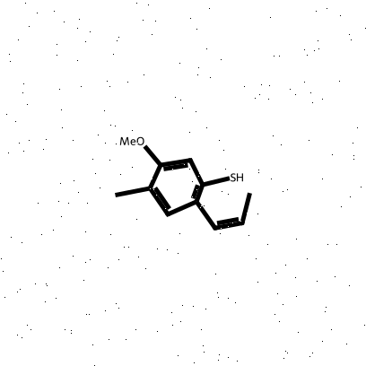 C/C=C\c1cc(C)c(OC)cc1S